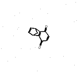 O=C1C=CC(=O)C2=C1C1C=CC2C1